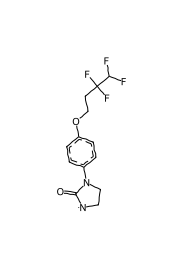 O=C1[N]CCN1c1ccc(OCCC(F)(F)C(F)F)cc1